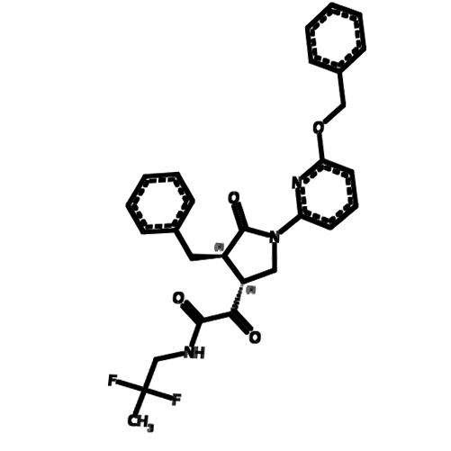 CC(F)(F)CNC(=O)C(=O)[C@H]1CN(c2cccc(OCc3ccccc3)n2)C(=O)[C@@H]1Cc1ccccc1